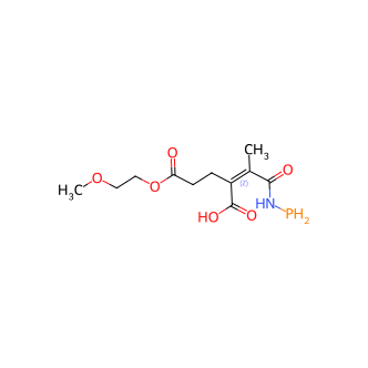 COCCOC(=O)CC/C(C(=O)O)=C(\C)C(=O)NP